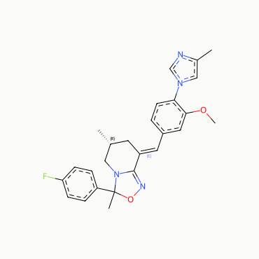 COc1cc(/C=C2\C[C@@H](C)CN3C2=NOC3(C)c2ccc(F)cc2)ccc1-n1cnc(C)c1